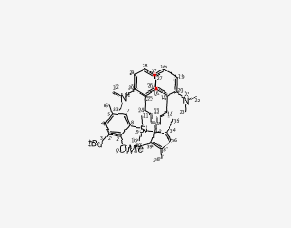 COc1c(C(C)(C)C)cc(C)cc1[Si](C)(C)[C]1([Lu]([CH2]c2ccccc2N(C)C)[CH2]c2ccccc2N(C)C)C(C)=CC(C)=C1C